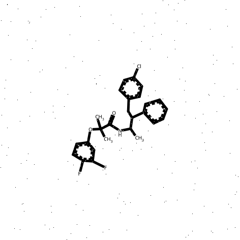 CC(NC(=O)C(C)(C)Oc1ccc(F)c(F)c1)C(Cc1ccc(Cl)cc1)c1ccccc1